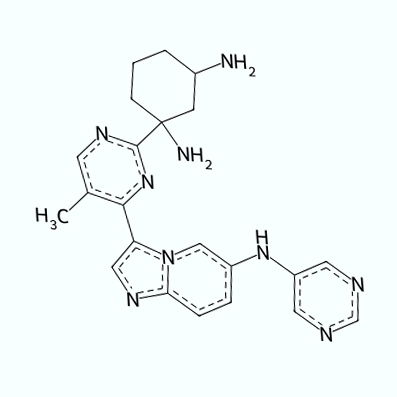 Cc1cnc(C2(N)CCCC(N)C2)nc1-c1cnc2ccc(Nc3cncnc3)cn12